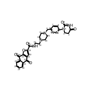 O=C1CCN(c2ccc(CN3CCN(CCNC(=O)c4cc5c(o4)C(=O)c4ccccc4C5=O)CC3)nn2)C(=O)N1